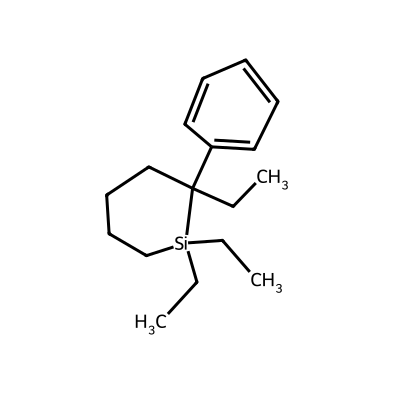 CCC1(c2ccccc2)CCCC[Si]1(CC)CC